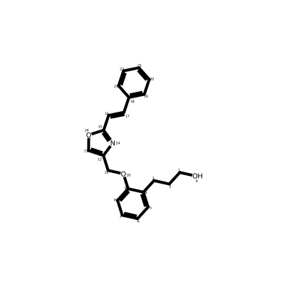 OCCCc1ccccc1OCc1coc(C=Cc2ccccc2)n1